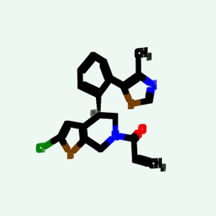 C=CC(=O)N1Cc2sc(Cl)cc2[C@H](c2ccccc2-c2scnc2C)C1